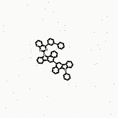 c1ccc(-c2cccc(-c3nc(-n4c5ccccc5c5cc(-c6cc7c8ccccc8n(-c8ccccc8)c7c7ccccc67)c6ccccc6c54)nc4ccccc34)c2)cc1